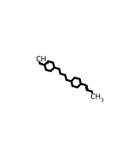 CCC=CC1CCC(CCCCC2CCC(CC)CC2)CC1